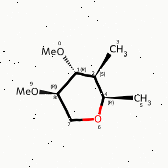 CO[C@@H]1[C@@H](C)[C@@H](C)OC[C@H]1OC